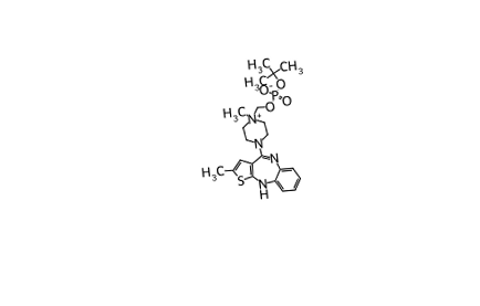 Cc1cc2c(s1)Nc1ccccc1N=C2N1CC[N+](C)(COP(=O)([O-])OC(C)(C)C)CC1